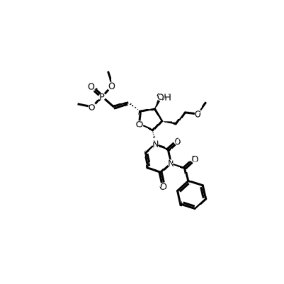 COCC[C@@H]1[C@H](O)[C@@H](/C=C/P(=O)(OC)OC)O[C@H]1n1ccc(=O)n(C(=O)c2ccccc2)c1=O